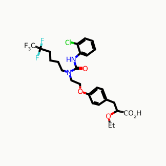 CCOC(Cc1ccc(OCCN(CCCCC(F)(F)C(F)(F)F)C(=O)Nc2ccccc2Cl)cc1)C(=O)O